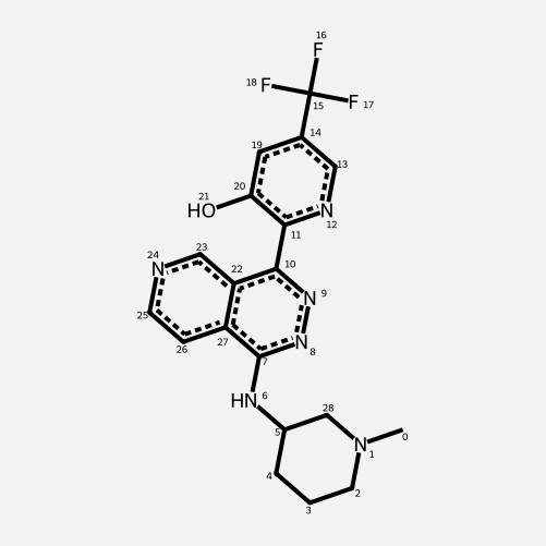 CN1CCCC(Nc2nnc(-c3ncc(C(F)(F)F)cc3O)c3cnccc23)C1